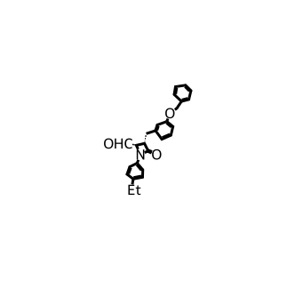 CCc1ccc(N2C(=O)[C@@H](Cc3cccc(OCc4ccccc4)c3)[C@H]2C=O)cc1